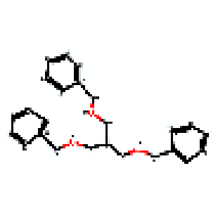 c1ccc(COCC(COCc2ccccc2)COCc2ccccc2)cc1